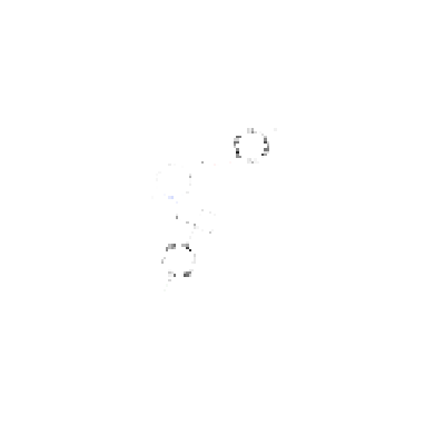 Cc1ccc(OC[C@@H]2CC[C@H](C)N(CC3(c4ccc(Cl)cc4)CCC3)C2)cc1